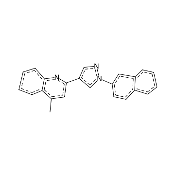 Cc1cc(-c2cnn(-c3ccc4ccccc4c3)c2)nc2ccccc12